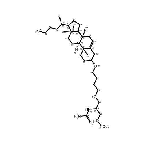 CCCCCCCCOC[C@H](COCCCCO[C@H]1CC[C@@]2(C)C(=CC[C@H]3[C@@H]4CC[C@H]([C@H](C)CCCC(C)C)[C@@]4(C)CC[C@@H]32)C1)NC(=N)N